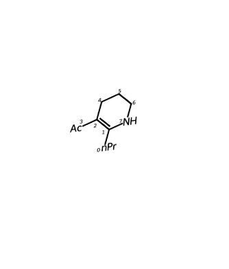 CCCC1=C(C(C)=O)CCCN1